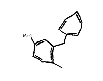 [CH2]c1ccc(OC)cc1Cc1ccccc1